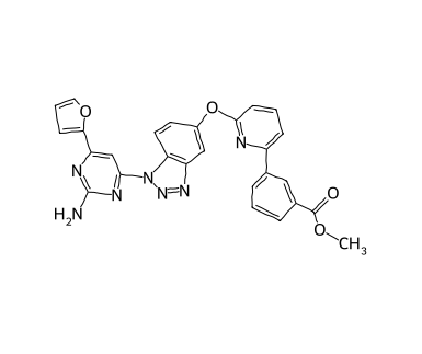 COC(=O)c1cccc(-c2cccc(Oc3ccc4c(c3)nnn4-c3cc(-c4ccco4)nc(N)n3)n2)c1